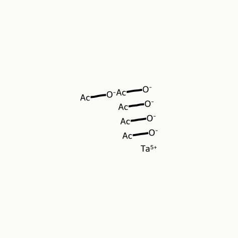 CC(=O)[O-].CC(=O)[O-].CC(=O)[O-].CC(=O)[O-].CC(=O)[O-].[Ta+5]